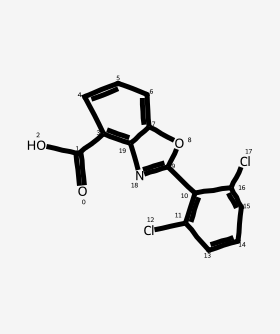 O=C(O)c1cccc2oc(-c3c(Cl)cccc3Cl)nc12